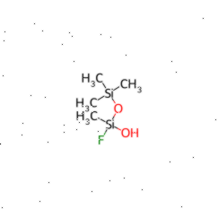 C[Si](C)(C)O[Si](C)(O)F